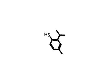 Cc1ccc(S)c(C(C)C)c1